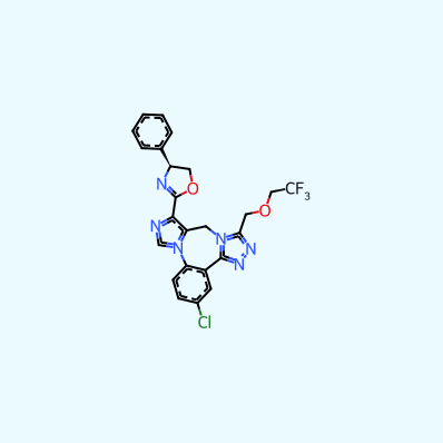 FC(F)(F)COCc1nnc2n1Cc1c(C3=N[C@@H](c4ccccc4)CO3)ncn1-c1ccc(Cl)cc1-2